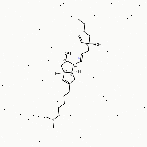 C=C[C@@](O)(C/C=C/[C@@H]1[C@H]2CC(CCCCCN(C)C)=C[C@H]2C[C@H]1O)CCCC